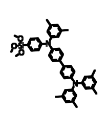 CO[Si](OC)(OC)c1ccc(N(c2ccc(-c3ccc(N(c4cc(C)cc(C)c4)c4cc(C)cc(C)c4)cc3)cc2)c2cc(C)cc(C)c2)cc1